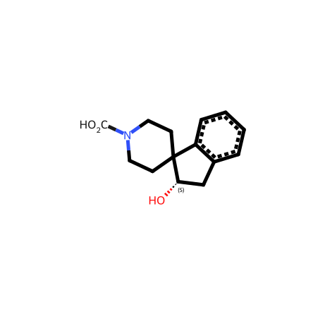 O=C(O)N1CCC2(CC1)c1ccccc1C[C@@H]2O